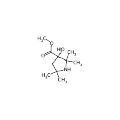 COC(=O)C1(O)CC(C)(C)NC1(C)C